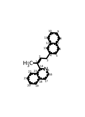 CC(=CCc1ccc2ccccc2c1)c1nccc2ccccc12